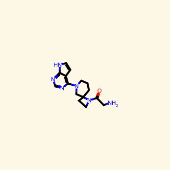 NCC(=O)N1CCC12CCCN(c1ncnc3[nH]ccc13)C2